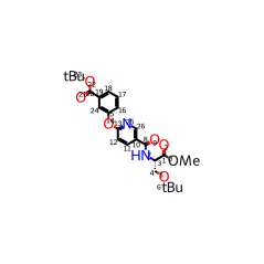 COC(=O)[C@H](COC(C)(C)C)NC(=O)c1ccc(Oc2cccc(C(=O)OC(C)(C)C)c2)nc1